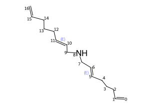 C=CCCC/C=C/CNC/C=C/CCCC=C